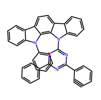 c1cccc(-c2nc(-c3ccccc3)nc(-n3c4ccccc4c4ccc5c6ccccc6n(-c6ccccc6)c5c43)n2)c#1